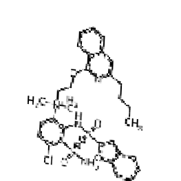 CCCCc1cc2ccccc2c(OCC[N+](C)(C)c2ccc(Cl)c(S(N)(=O)=O)c2NS(=O)(=O)c2cc3ccccc3o2)n1